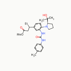 CCC(CC(=O)OC)c1ccc(N2CCC[C@@H]2C(C)(C)O)c(NC(=O)Nc2ccc(C)cc2)c1